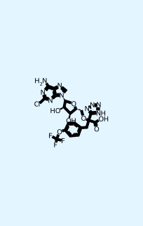 Nc1nc(Cl)nc2c1ncn2[C@@H]1O[C@H](COC(Cc2ccc(OC(F)(F)F)cc2)(C(=O)O)c2nnn[nH]2)[C@@H](O)[C@H]1O